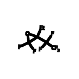 CCC1(C(F)(F)C(F)(F)F)OC1(F)F